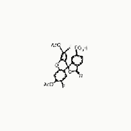 CC(=O)Oc1cc2c(cc1F)C1(OC(=O)c3ccc(C(=O)O)cc31)c1cc(F)c(OC(C)=O)cc1O2